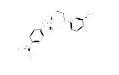 O=[N+]([O-])c1ccc(O[P@@]2(=O)OCC[C@@H](c3cccc(Br)c3)O2)cc1